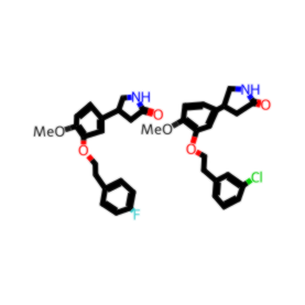 COc1ccc(C2CNC(=O)C2)cc1OCCc1ccc(F)cc1.COc1ccc(C2CNC(=O)C2)cc1OCCc1cccc(Cl)c1